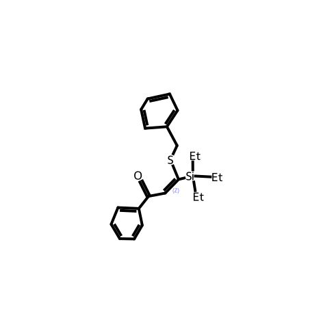 CC[Si](CC)(CC)/C(=C/C(=O)c1ccccc1)SCc1ccccc1